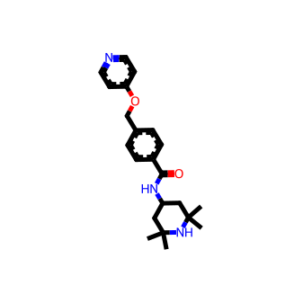 CC1(C)CC(NC(=O)c2ccc(COc3ccncc3)cc2)CC(C)(C)N1